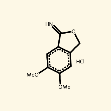 COc1cc2c(cc1OC)C(=N)OC2.Cl